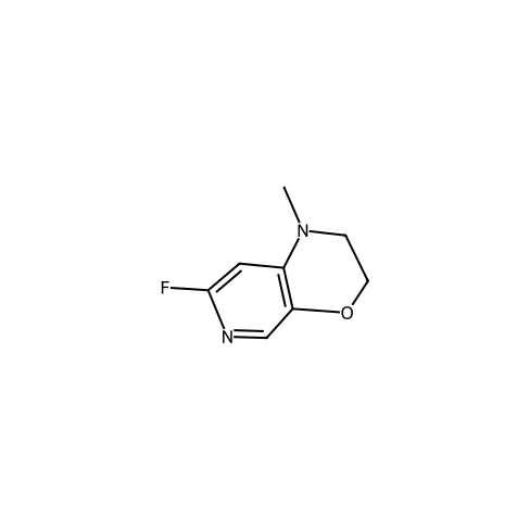 CN1CCOc2cnc(F)cc21